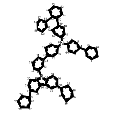 c1ccc(-c2ccc(N(c3ccc(-c4cccc(-n5c6ccc(-c7ccccc7)cc6c6cc(-c7ccccc7)ccc65)c4)cc3)c3ccc(-c4ccccc4-c4ccccc4)cc3)cc2)cc1